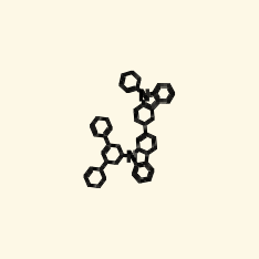 C1=CCCC(n2c3c(c4ccccc42)CC(C2=CC4C(C=C2)c2ccccc2N4C2CC(C4=CCCC=C4)=CC(C4C=CCCC4)C2)C=C3)=C1